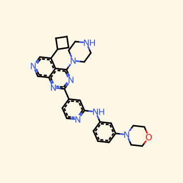 c1cc(Nc2cc(-c3nc(N4CCNCC4)c4c(C5CCC5)cncc4n3)ccn2)cc(N2CCOCC2)c1